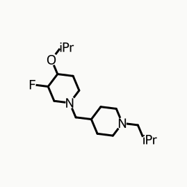 CC(C)CN1CCC(CN2CCC(OC(C)C)C(F)C2)CC1